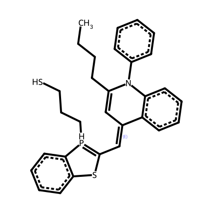 CCCCC1=C/C(=C\C2=[PH](CCCS)c3ccccc3S2)c2ccccc2N1c1ccccc1